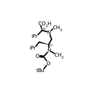 CC(C)C[C@@H](CN(C)[C@H](C(=O)O)C(C)C)N(C)C(=O)OC(C)(C)C